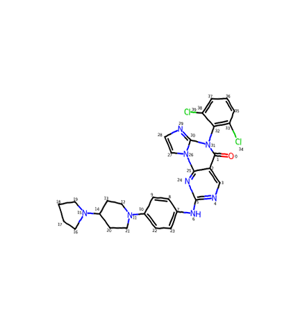 O=c1c2cnc(Nc3ccc(N4CCC(N5CCCC5)CC4)cc3)nc2n2ccnc2n1-c1c(Cl)cccc1Cl